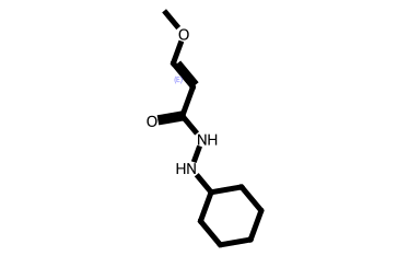 CO/C=C/C(=O)NNC1CCCCC1